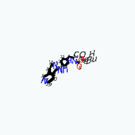 CC(C)(C)OC(=O)NC(Cc1ccc(Nc2nccc3cnccc23)cc1)C(=O)O